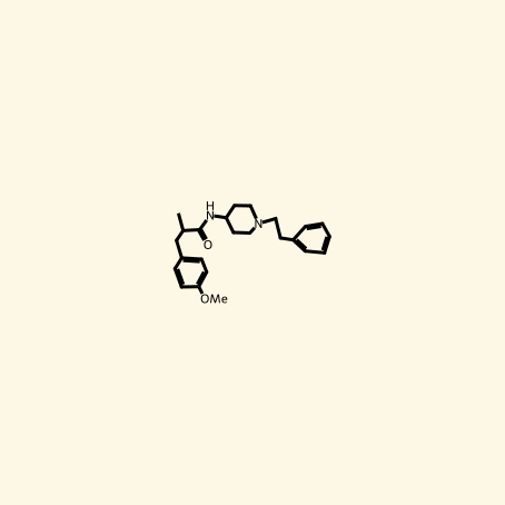 COc1ccc(CC(C)C(=O)NC2CCN(CCc3ccccc3)CC2)cc1